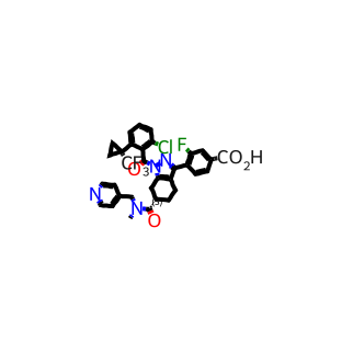 CN(Cc1ccncc1)C(=O)[C@H]1CCc2c(-c3ccc(C(=O)O)cc3F)nn(C(=O)c3c(Cl)cccc3C3(C(F)(F)F)CC3)c2C1